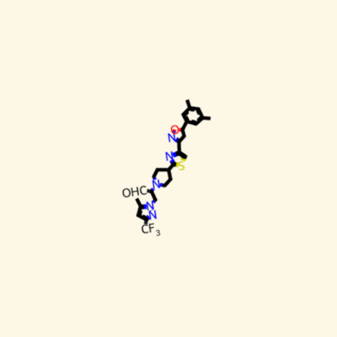 Cc1cc(C)cc(C2CC(c3csc(C4CCN(C(C=O)Cn5nc(C(F)(F)F)cc5C)CC4)n3)=NO2)c1